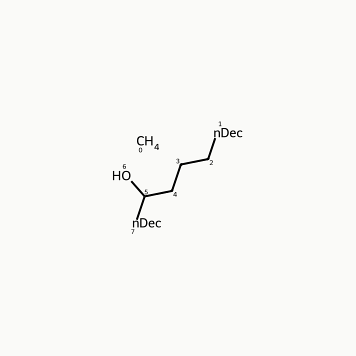 C.CCCCCCCCCCCCCC(O)CCCCCCCCCC